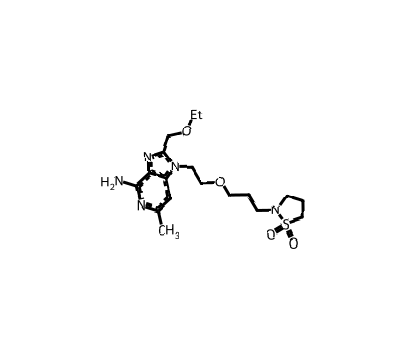 CCOCc1nc2c(N)nc(C)cc2n1CCOCCCN1CCCS1(=O)=O